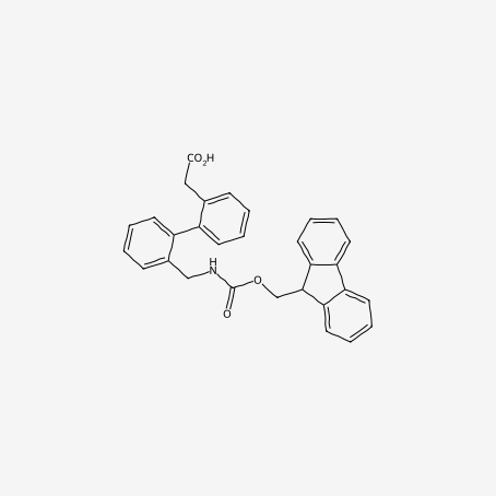 O=C(O)Cc1ccccc1-c1ccccc1CNC(=O)OCC1c2ccccc2-c2ccccc21